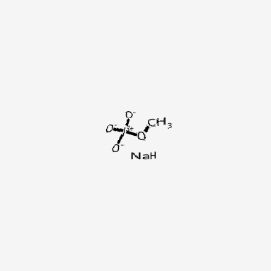 CO[I+3]([O-])([O-])[O-].[NaH]